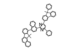 CC1(C)c2c(cccc2-c2ccc(-c3nc(-c4ccccc4)cc(-c4ccc5c(c4)-c4ccccc4C5(C)c4ccccc4)n3)c3ccccc23)-c2ccc3ccccc3c21